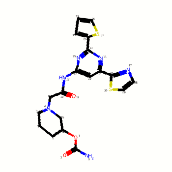 NC(=O)OC1CCCN(CC(=O)Nc2cc(-c3nccs3)nc(-c3cccs3)n2)C1